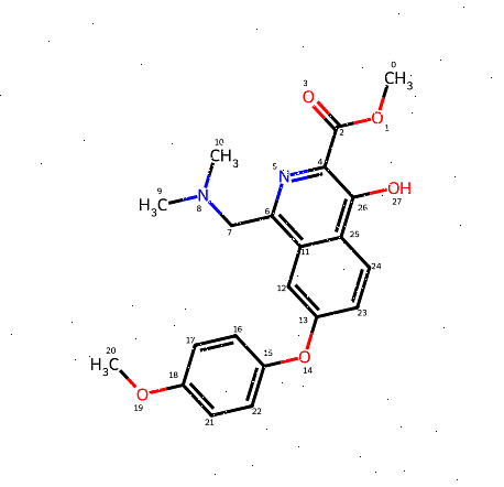 COC(=O)c1nc(CN(C)C)c2cc(Oc3ccc(OC)cc3)ccc2c1O